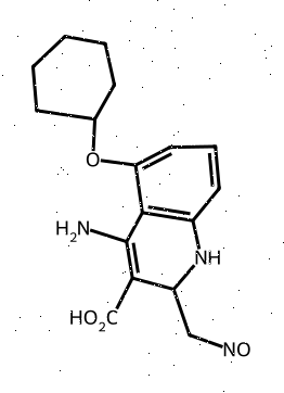 NC1=C(C(=O)O)C(CN=O)Nc2cccc(OC3CCCCC3)c21